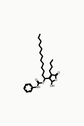 CCCCCCCCCCCCC(OC(=O)Nc1ccccc1)C1=C(CCCC)C(=O)OC1O